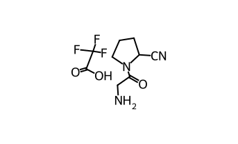 N#CC1CCCN1C(=O)CN.O=C(O)C(F)(F)F